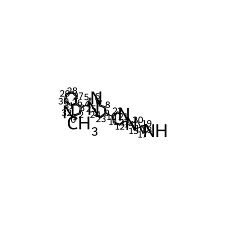 Cc1cc(-c2cnc3cc(-c4ccc(N5CC6(CNC6)C5)nc4)ccn23)c2ccccc2n1